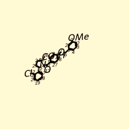 COc1cccc(COc2ccc(C(=O)N3[C@@H](c4ccccc4Cl)CC[C@H]3C(=O)O)cc2)c1